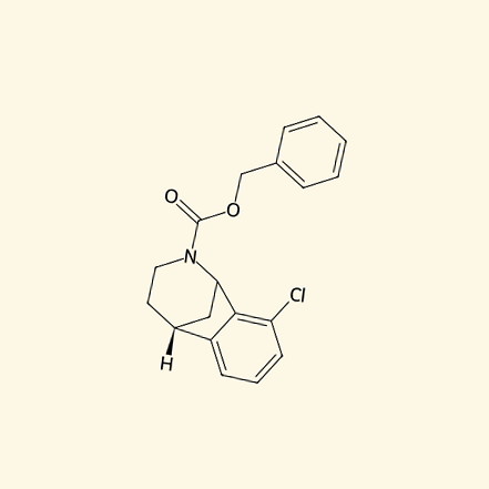 O=C(OCc1ccccc1)N1CC[C@@H]2CC1c1c(Cl)cccc12